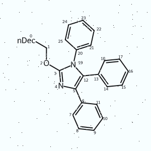 CCCCCCCCCCCOc1nc(-c2ccccc2)c(-c2ccccc2)n1-c1ccccc1